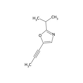 CC#Cc1cnc(C(C)C)o1